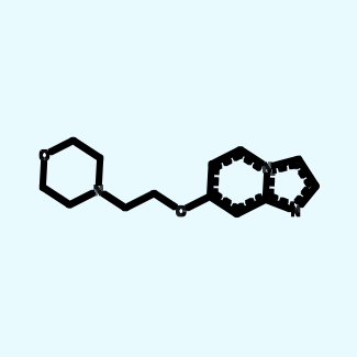 c1cn2ccc(OCCN3CCOCC3)cc2n1